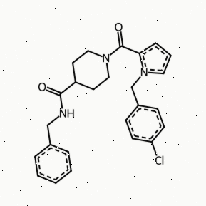 O=C(NCc1ccccc1)C1CCN(C(=O)c2cccn2Cc2ccc(Cl)cc2)CC1